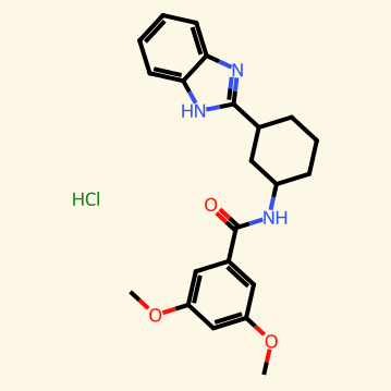 COc1cc(OC)cc(C(=O)NC2CCCC(c3nc4ccccc4[nH]3)C2)c1.Cl